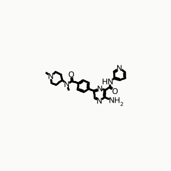 CN1CCC(N(C)C(=O)c2ccc(-c3cnc(N)c(C(=O)Nc4cccnc4)n3)cc2)CC1